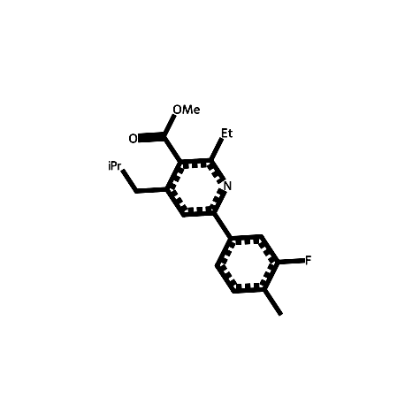 CCc1nc(-c2ccc(C)c(F)c2)cc(CC(C)C)c1C(=O)OC